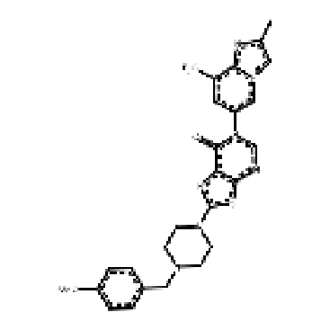 COc1ccc(CN2CCN(c3nc4c(=O)n(-c5cc(C(F)(F)F)c6nc(C)cn6c5)cnc4s3)CC2)cc1